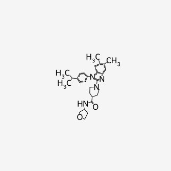 Cc1cc2nc(N3CCC(C(=O)NC4CCOC4)CC3)n(-c3ccc(C(C)C)cc3)c2cc1C